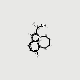 C[C@H](N)c1nc2ccc(F)c3c2n1CCCC3